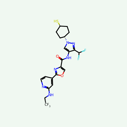 O=C(Nc1cn([C@H]2CC[C@H](S)CC2)nc1C(F)F)c1coc(-c2ccnc(NCC(F)(F)F)c2)n1